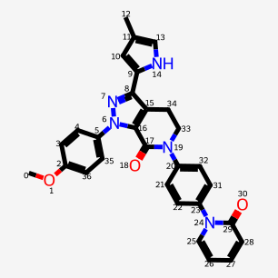 COc1ccc(-n2nc(-c3cc(C)c[nH]3)c3c2C(=O)N(c2ccc(-n4ccccc4=O)cc2)CC3)cc1